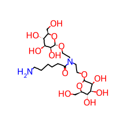 NCCCCCC(=O)N(CCOC1O[C@H](CO)[C@@H](O)[C@H](O)[C@@H]1O)CCO[C@H]1O[C@H](CO)[C@@H](O)[C@H](O)[C@@H]1O